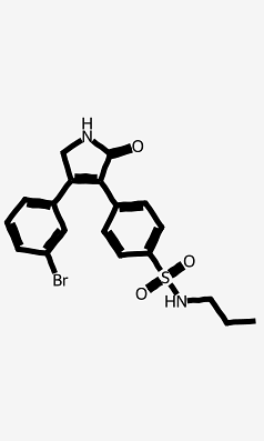 CCCNS(=O)(=O)c1ccc(C2=C(c3cccc(Br)c3)CNC2=O)cc1